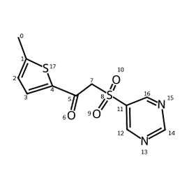 Cc1ccc(C(=O)CS(=O)(=O)c2cncnc2)s1